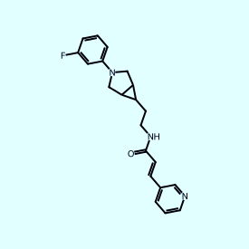 O=C(/C=C/c1cccnc1)NCCC1C2CN(c3cccc(F)c3)CC12